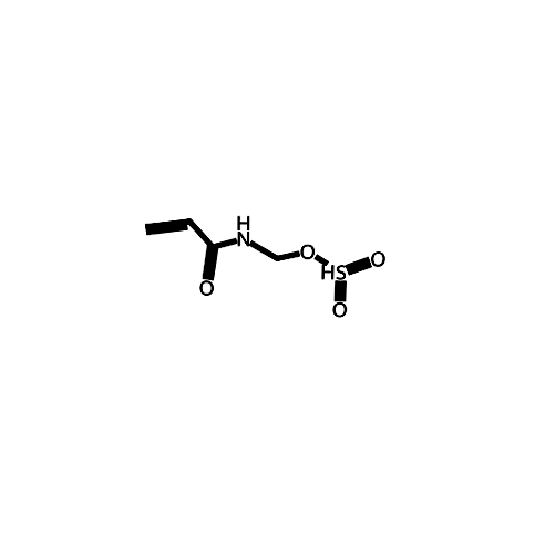 C=CC(=O)NCO[SH](=O)=O